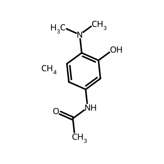 C.CC(=O)Nc1ccc(N(C)C)c(O)c1